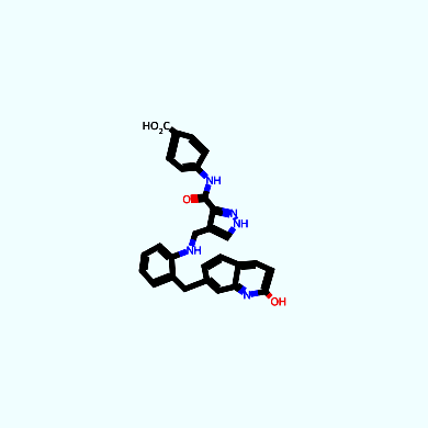 O=C(O)c1ccc(NC(=O)c2n[nH]cc2CNc2ccccc2Cc2ccc3ccc(O)nc3c2)cc1